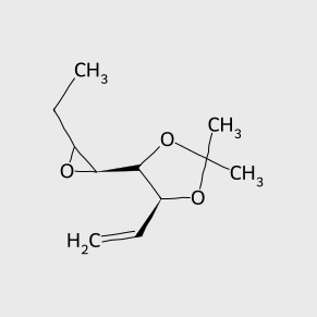 C=C[C@@H]1OC(C)(C)OC1[C@H]1OC1CC